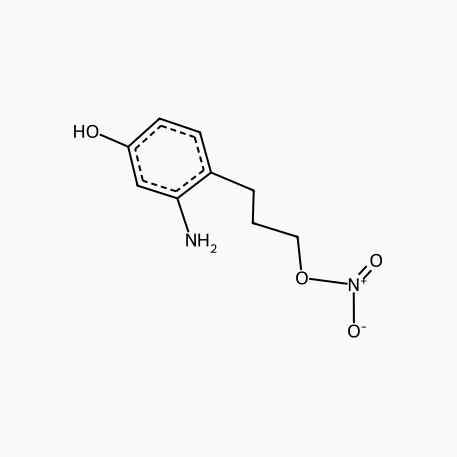 Nc1cc(O)ccc1CCCO[N+](=O)[O-]